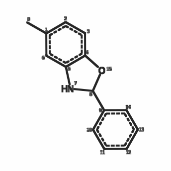 Cc1ccc2c(c1)NC(c1ccccc1)O2